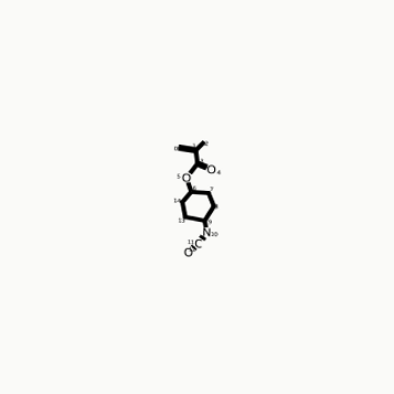 C=C(C)C(=O)OC1CCC(N=C=O)CC1